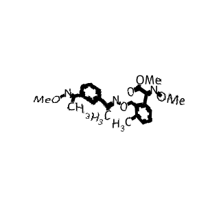 CO/N=C(\C)c1cccc(/C(C)=N/OCc2c(C)cccc2/C(=N\OC)C(=O)OC)c1